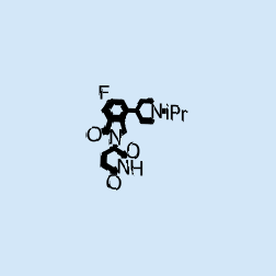 CC(C)N1CCC(c2cc(F)cc3c2CN(C2CCC(=O)NC2=O)C3=O)CC1